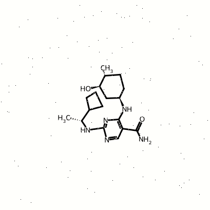 C[C@@H]1CC[C@@H](Nc2nc(N[C@H](C)C3CCC3)ncc2C(N)=O)C[C@H]1O